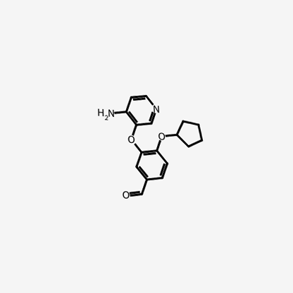 Nc1ccncc1Oc1cc(C=O)ccc1OC1CCCC1